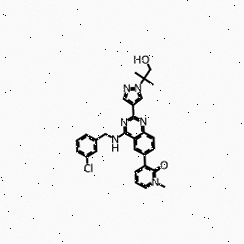 Cn1cccc(-c2ccc3nc(-c4cnn(C(C)(C)CO)c4)nc(NCc4cccc(Cl)c4)c3c2)c1=O